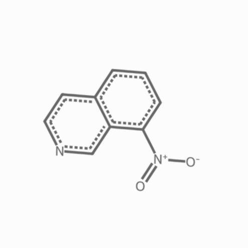 O=[N+]([O-])c1cccc2ccncc12